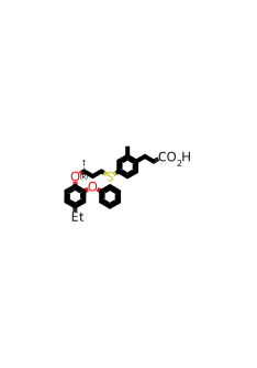 CCc1ccc(O[C@H](C)CCSc2ccc(CCC(=O)O)c(C)c2)c(Oc2ccccc2)c1